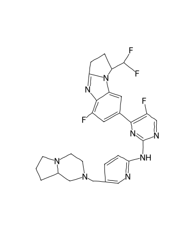 Fc1cnc(Nc2ccc(CN3CCN4CCCC4C3)cn2)nc1-c1cc(F)c2nc3n(c2c1)C(C(F)F)CC3